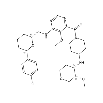 COc1c(NC[C@H]2CCC[C@@H](c3ccc(Cl)cc3)O2)ncnc1C(=O)N1CCC(N[C@H]2CCOC[C@H]2OC)CC1